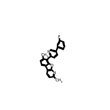 Cc1ccc2c(n1)oc1c(-c3ccc(-c4cccc(F)c4)cn3)c(C)ccc12